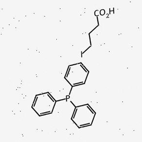 O=C(O)CCCI.c1ccc(P(c2ccccc2)c2ccccc2)cc1